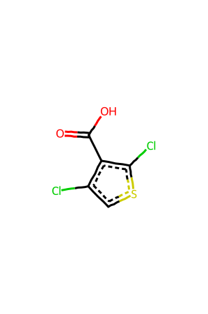 O=C(O)c1c(Cl)csc1Cl